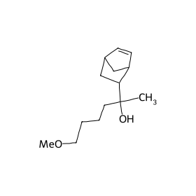 COCCCCC(C)(O)C1CC2C=CC1C2